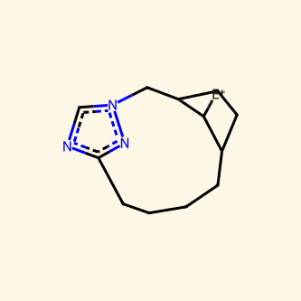 CCC1C2CCCCc3ncn(n3)CC1CC2